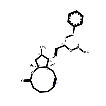 C[C@@H]1C[C@@H]2OC(=O)CCC/C=C\C[C@@H]2[C@H]1/C=C/[C@H](COc1ccccc1)OPP